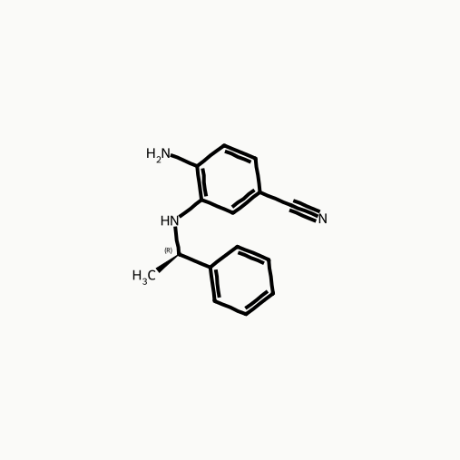 C[C@@H](Nc1cc(C#N)ccc1N)c1ccccc1